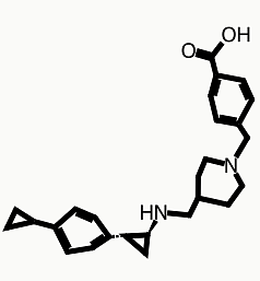 O=C(O)c1ccc(CN2CCC(CN[C@H]3C[C@@H]3c3ccc(C4CC4)cc3)CC2)cc1